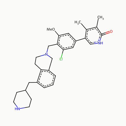 COc1cc(-c2c[nH]c(=O)c(C)c2C)cc(Cl)c1CN1CCc2c(CC3CCNCC3)cccc2C1